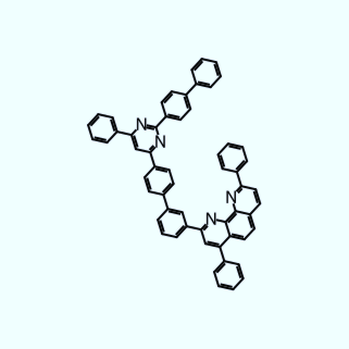 c1ccc(-c2ccc(-c3nc(-c4ccccc4)cc(-c4ccc(-c5cccc(-c6cc(-c7ccccc7)c7ccc8ccc(-c9ccccc9)nc8c7n6)c5)cc4)n3)cc2)cc1